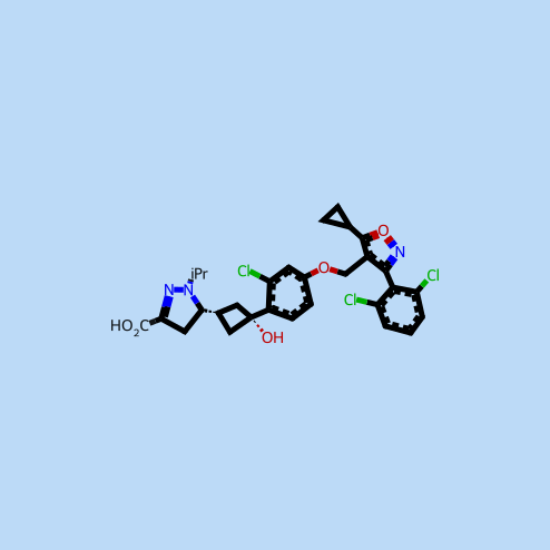 CC(C)N1N=C(C(=O)O)CC1[C@H]1C[C@](O)(c2ccc(OCc3c(-c4c(Cl)cccc4Cl)noc3C3CC3)cc2Cl)C1